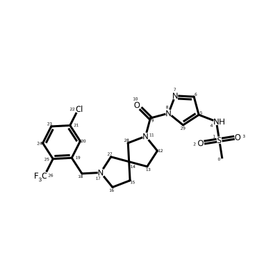 CS(=O)(=O)Nc1cnn(C(=O)N2CCC3(CCN(Cc4cc(Cl)ccc4C(F)(F)F)C3)C2)c1